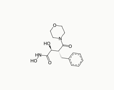 O=C(NO)[C@@H](O)[C@@H](Cc1ccccc1)C(=O)N1CCOCC1